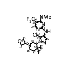 CNc1nc(Nc2cnn([C@@H]3CN(C4COC4)CCC3(F)F)c2Cl)ncc1C(F)(F)F